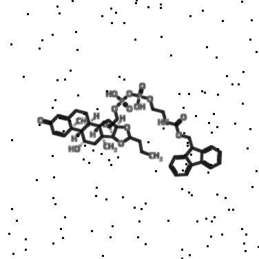 CCCC1O[C@@H]2C[C@H]3[C@@H]4CCC5=CC(=O)C=C[C@]5(C)[C@H]4[C@@H](O)C[C@]3(C)[C@]2(C(=O)COP(=O)(O)OP(=O)(O)OCCNC(=O)OCC2c3ccccc3-c3ccccc32)O1